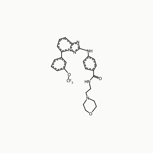 O=C(NCCN1CCOCC1)c1ccc(Nc2nc3cccc(-c4cccc(OC(F)(F)F)c4)n3n2)cc1